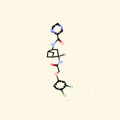 O=C(COc1ccc(Cl)c(Cl)c1)N[C@H]1CC(NC(=O)c2cnccn2)C2CC1C2